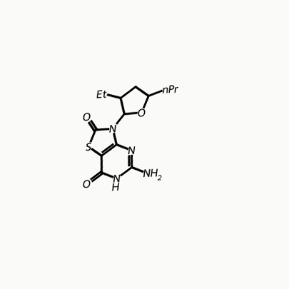 CCCC1CC(CC)C(n2c(=O)sc3c(=O)[nH]c(N)nc32)O1